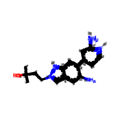 CC(C)(O)CCn1cc2cc(N)c(-c3ccnc(N)c3)cc2n1